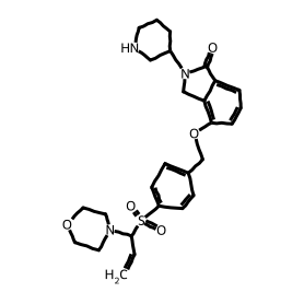 C=CC(N1CCOCC1)S(=O)(=O)c1ccc(COc2cccc3c2CN(C2CCCNC2)C3=O)cc1